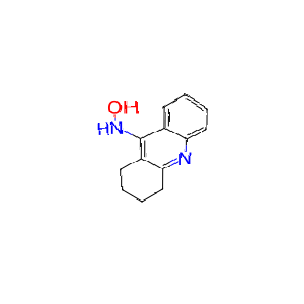 ONc1c2c(nc3ccccc13)CCCC2